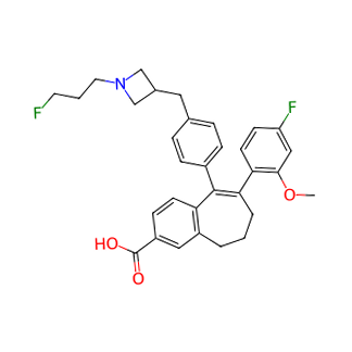 COc1cc(F)ccc1C1=C(c2ccc(CC3CN(CCCF)C3)cc2)c2ccc(C(=O)O)cc2CCC1